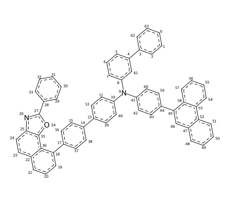 c1ccc(-c2cccc(N(c3ccc(-c4ccc(-c5cccc6ccc7nc(-c8ccccc8)oc7c56)cc4)cc3)c3ccc(-c4cc5ccccc5c5ccccc45)cc3)c2)cc1